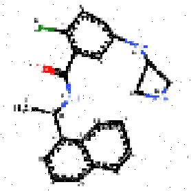 C[C@@H](NC(=O)c1cc(NC2CNC2)ccc1Cl)c1cccc2ccccc12